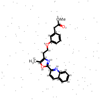 COC(=O)Cc1cccc(OCCc2nc(-c3ccc4ccccc4n3)oc2C)c1